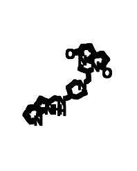 O=c1ccc2ccc(=O)n3c2n1CC3CN1CCC(NCc2cc3cccnc3[nH]2)CC1